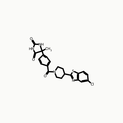 CC1(c2ccc(C(=O)N3CCC(c4nc5cc(Cl)ccc5s4)CC3)cc2)NC(=O)NC1=O